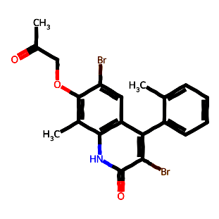 CC(=O)COc1c(Br)cc2c(-c3ccccc3C)c(Br)c(=O)[nH]c2c1C